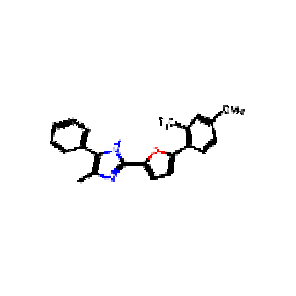 COc1ccc(-c2ccc(-c3nc(C)c(-c4ccccc4)[nH]3)o2)c(C(F)(F)F)c1